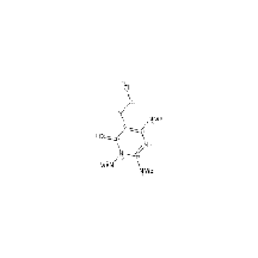 CNc1nc(NC)n(NC)c(=O)c1CCCl